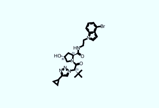 CC(C)(C)[C@@H](C(=O)N1C[C@H](O)C[C@H]1C(=O)NCCn1ccc2c(Br)cccc21)n1cc(C2CC2)nn1